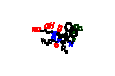 CCC(=O)N1[C@@H](C)[C@](C#N)(c2ccc(Cl)cc2F)[C@@H](c2cccc(Cl)c2F)[C@@H]1C(=O)NCCC(O)CO